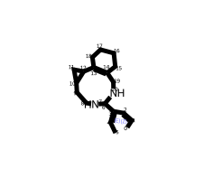 C/C=C\C(=C/C)C1NCCC2CC2C2=C(CCCC2)CN1